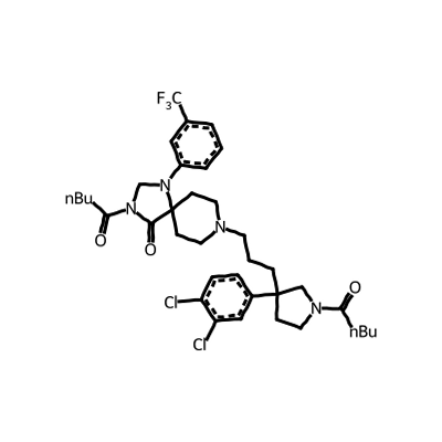 CCCCC(=O)N1CCC(CCCN2CCC3(CC2)C(=O)N(C(=O)CCCC)CN3c2cccc(C(F)(F)F)c2)(c2ccc(Cl)c(Cl)c2)C1